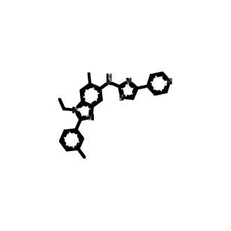 CCn1c(-c2cccc(C)c2)nc2cc(Nc3nc(-c4ccncc4)cs3)c(C)cc21